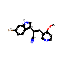 COc1ccncc1C=C(C#N)c1c[nH]c2cc(Br)ccc12